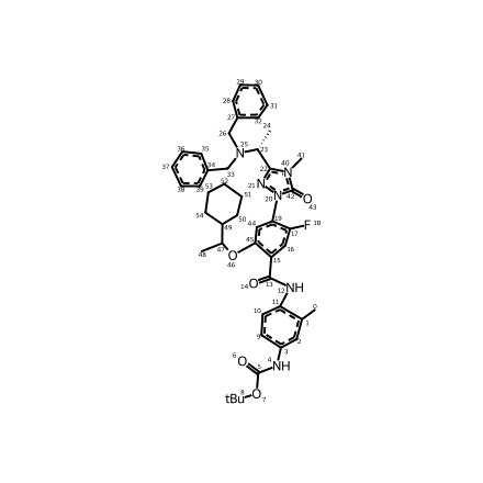 Cc1cc(NC(=O)OC(C)(C)C)ccc1NC(=O)c1cc(F)c(-n2nc([C@@H](C)N(Cc3ccccc3)Cc3ccccc3)n(C)c2=O)cc1OC(C)C1CCCCC1